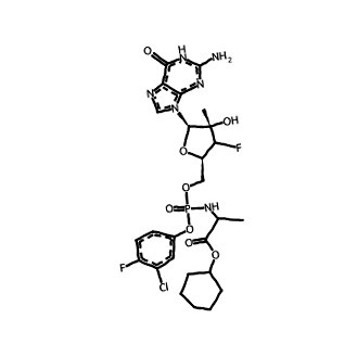 CC(NP(=O)(OC[C@H]1O[C@@H](n2cnc3c(=O)[nH]c(N)nc32)[C@](C)(O)C1F)Oc1ccc(F)c(Cl)c1)C(=O)OC1CCCCC1